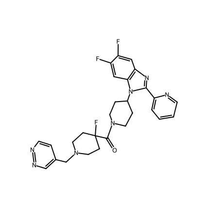 O=C(N1CCC(n2c(-c3ccccn3)nc3cc(F)c(F)cc32)CC1)C1(F)CCN(Cc2ccnnc2)CC1